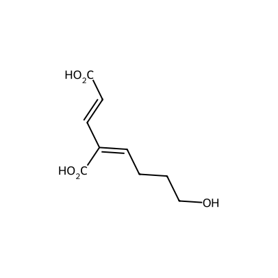 O=C(O)C=CC(=CCCCO)C(=O)O